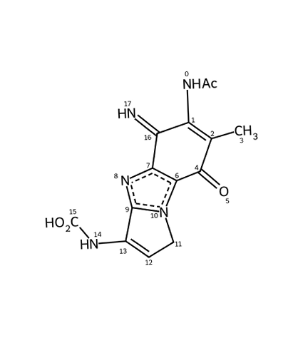 CC(=O)NC1=C(C)C(=O)c2c(nc3n2CC=C3NC(=O)O)C1=N